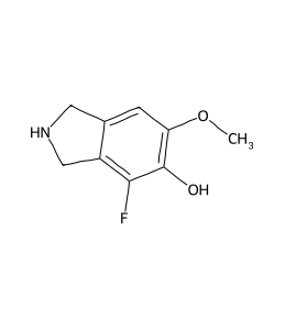 COc1cc2c(c(F)c1O)CNC2